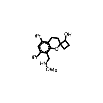 CONCc1c(C(C)C)cc(C(C)C)c2c1OC1(CC2)CCC1O